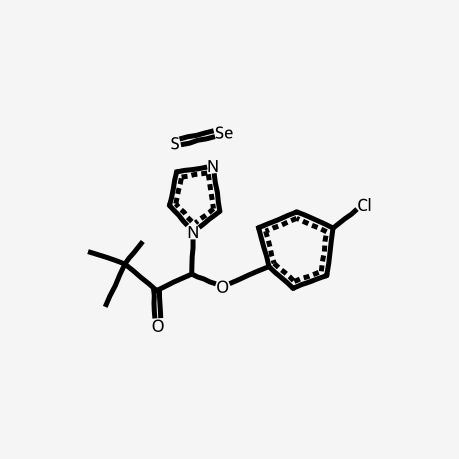 CC(C)(C)C(=O)C(Oc1ccc(Cl)cc1)n1ccnc1.S=[Se]